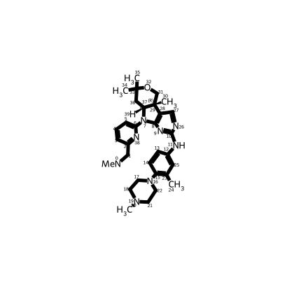 CNCc1cccc(N2c3nc(Nc4ccc(N5CCN(C)CC5)c(C)c4)ncc3[C@@]3(C)COC(C)(C)C[C@@H]23)n1